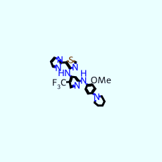 COc1cc(N2CCCCC2)ccc1Nc1cc(Nc2ncsc2-c2ncccn2)c(C(F)(F)F)cn1